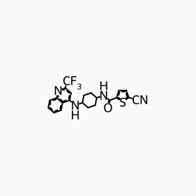 N#Cc1ccc(C(=O)NC2CCC(Nc3cc(C(F)(F)F)nc4ccccc34)CC2)s1